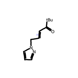 CC(C)(C)C(=O)/C=C/Cn1cccn1